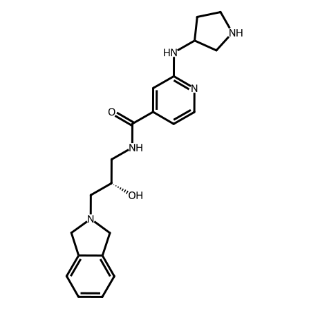 O=C(NC[C@H](O)CN1Cc2ccccc2C1)c1ccnc(NC2CCNC2)c1